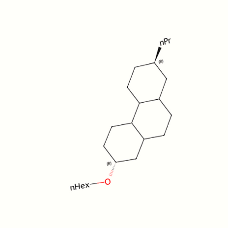 CCCCCCO[C@@H]1CCC2C(CCC3C[C@H](CCC)CCC32)C1